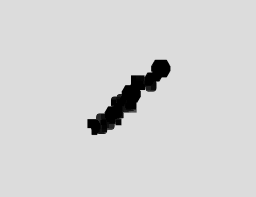 CC[C@H](C)OC(=O)Oc1ccc(C(=O)NS(=O)(=O)c2ccc(CCNC(=O)CCc3ccccc3)cc2)cn1